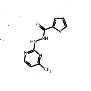 O=C(NNc1nccc(C(F)(F)F)n1)c1cccs1